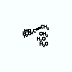 CC(=O)O.O.O.O.O.[Y]